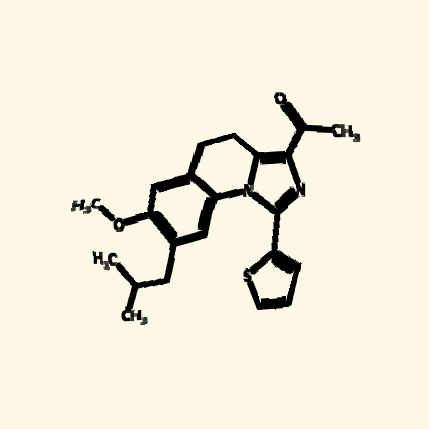 COc1cc2c(cc1CC(C)C)-n1c(-c3cccs3)nc(C(C)=O)c1CC2